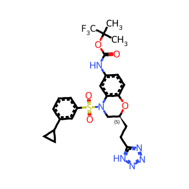 CC(C)(OC(=O)Nc1ccc2c(c1)N(S(=O)(=O)c1cccc(C3CC3)c1)C[C@H](CCc1nnn[nH]1)O2)C(F)(F)F